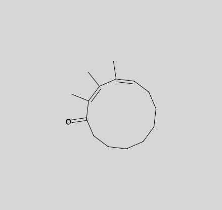 CC1=CCCCCCCCC(=O)C(C)=C1C